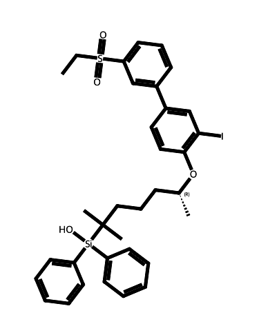 CCS(=O)(=O)c1cccc(-c2ccc(O[C@H](C)CCCC(C)(C)[Si](O)(c3ccccc3)c3ccccc3)c(I)c2)c1